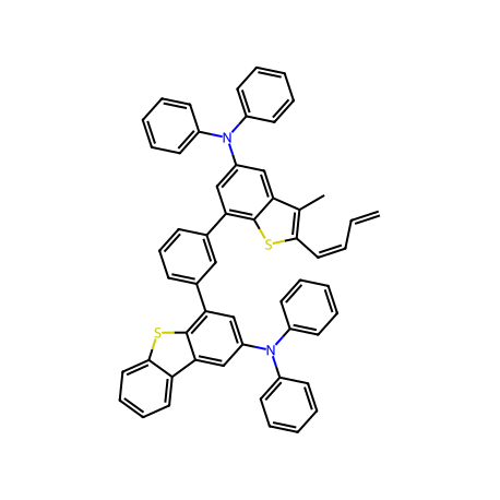 C=C/C=C\c1sc2c(-c3cccc(-c4cc(N(c5ccccc5)c5ccccc5)cc5c4sc4ccccc45)c3)cc(N(c3ccccc3)c3ccccc3)cc2c1C